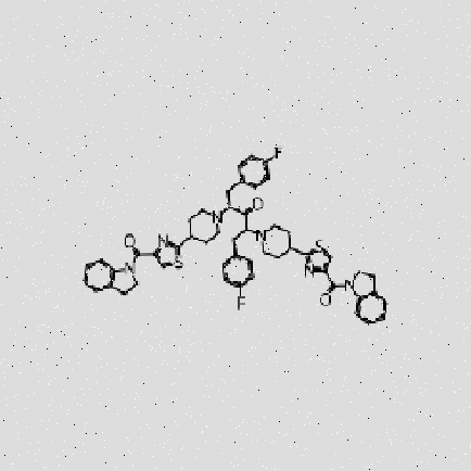 O=C(C(Cc1ccc(F)cc1)N1CCC(c2nc(C(=O)N3CCc4ccccc43)cs2)CC1)C(Cc1ccc(F)cc1)N1CCC(c2nc(C(=O)N3CCc4ccccc43)cs2)CC1